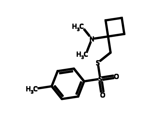 Cc1ccc(S(=O)(=O)SCC2(N(C)C)CCC2)cc1